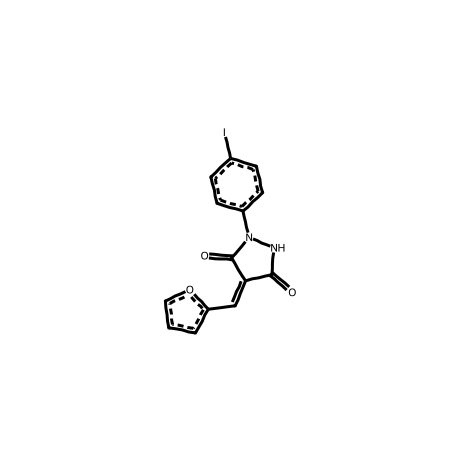 O=C1NN(c2ccc(I)cc2)C(=O)C1=Cc1ccco1